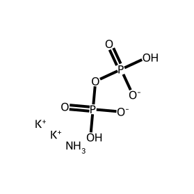 N.O=P([O-])(O)OP(=O)([O-])O.[K+].[K+]